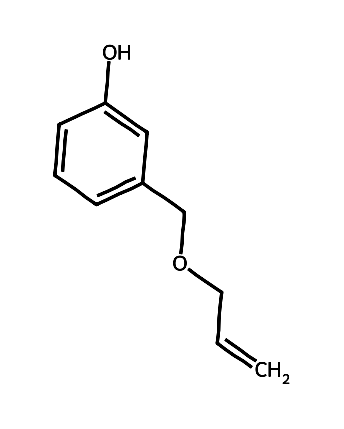 C=CCOCc1cccc(O)c1